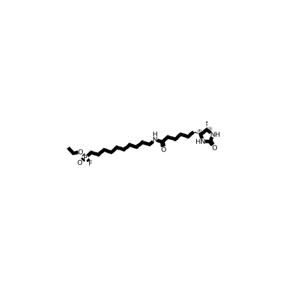 CCOP(=O)(F)CCCCCCCCCCNC(=O)CCCCC[C@H]1NC(=O)N[C@H]1C